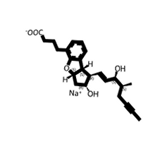 CC#CC[C@H](C)[C@H](O)C=C[C@@H]1[C@H]2c3cccc(CCCC(=O)[O-])c3O[C@H]2C[C@H]1O.[Na+]